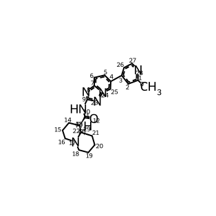 Cc1cc(-c2ccc3nc(NC(=O)[C@@H]4CCCN5CCCC[C@H]45)nn3c2)ccn1